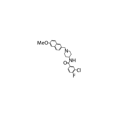 COc1ccc2cc(CN3CCC(NC(=O)c4ccc(F)c(Cl)c4)CC3)ccc2c1